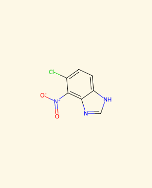 O=[N+]([O-])c1c(Cl)ccc2[nH]cnc12